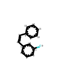 Fc1cccc(/C=C\c2ccccc2)c1